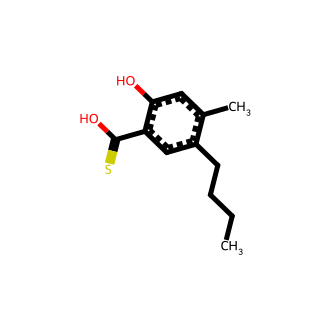 CCCCc1cc(C(O)=S)c(O)cc1C